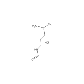 CN(C)CCCNC=O.Cl